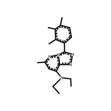 CCN(CC)c1cc(C)nn2c(-c3ccc(C)c(C)c3C)nnc12